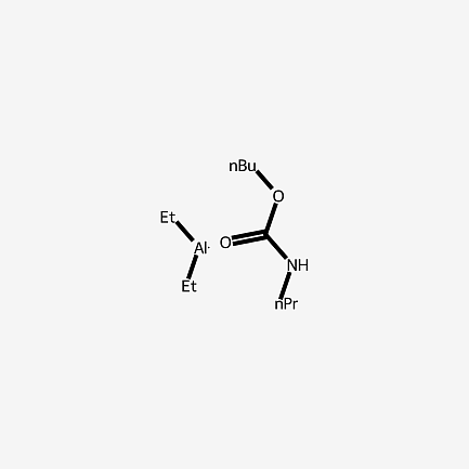 CCCCOC(=O)NCCC.C[CH2][Al][CH2]C